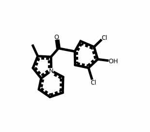 Cc1cc2ccccn2c1C(=O)c1cc(Cl)c(O)c(Cl)c1